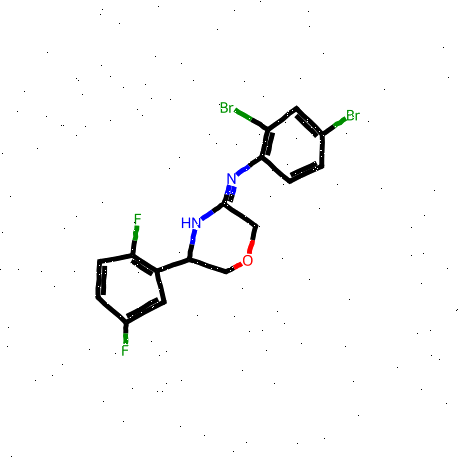 Fc1ccc(F)c(C2COCC(=Nc3ccc(Br)cc3Br)N2)c1